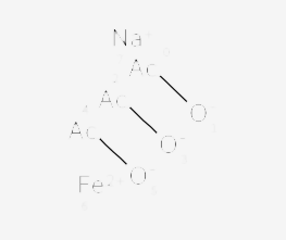 CC(=O)[O-].CC(=O)[O-].CC(=O)[O-].[Fe+2].[Na+]